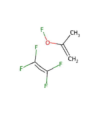 C=C(C)OF.FC(F)=C(F)F